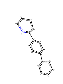 [c]1ccc(-c2ccc(-c3ccccn3)cc2)cc1